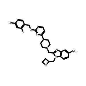 Nc1ccc2c(c1)nc(CN1CCC(c3cccc(OCc4ccc(Cl)cc4F)n3)CC1)n2CC1CCO1